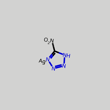 O=[N+]([O-])c1nnn[nH]1.[Ag]